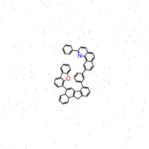 C1=CC2C(c3cccc4c3oc3ccccc34)=CC3=C(Cc4cccc(-c5cccc(-c6ccc7ccc8ccc(-c9ccccc9)nc8c7c6)c5)c43)C2C=C1